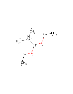 CCOC(OCC)[SiH](C)C